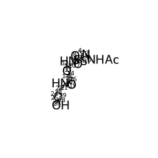 CC(=O)Nc1nc(C)c(S(=O)(=O)NCC(C)OCC(C)(C)C(=O)NCCc2ccc(O)cc2)s1